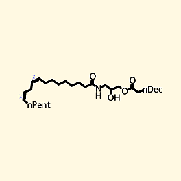 CCCCC/C=C\C/C=C\CCCCCCCC(=O)NCC(O)COC(=O)CCCCCCCCCCC